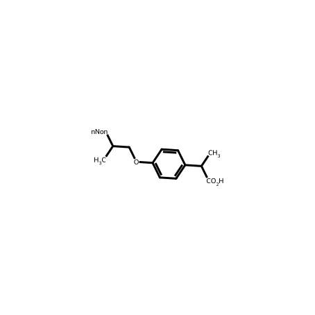 CCCCCCCCCC(C)COc1ccc(C(C)C(=O)O)cc1